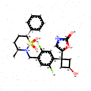 C[C@H]1CC[C@H](c2ccccc2)S(=O)(=O)N1Cc1cc(F)c([C@]2(c3c[nH]c(=O)o3)C[C@H](O)C2)cc1F